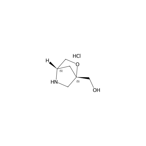 Cl.OC[C@]12CN[C@H](CO1)C2